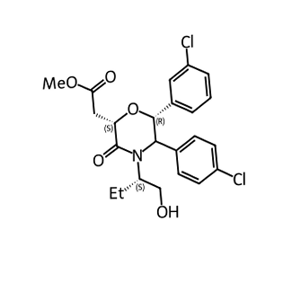 CC[C@@H](CO)N1C(=O)[C@H](CC(=O)OC)O[C@H](c2cccc(Cl)c2)C1c1ccc(Cl)cc1